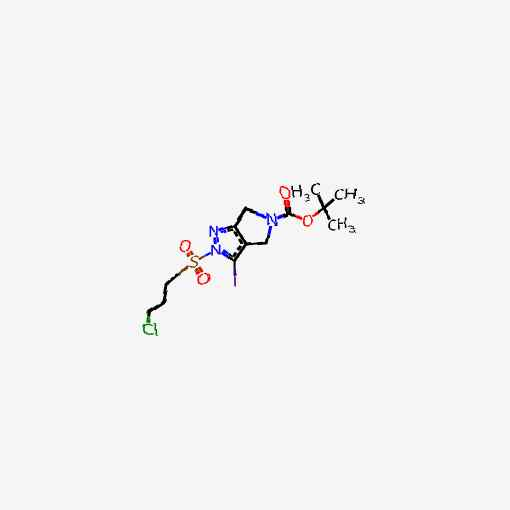 CC(C)(C)OC(=O)N1Cc2nn(S(=O)(=O)CCCCl)c(I)c2C1